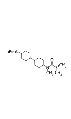 C=C(C)C(=O)N(C)C1CCC(C2CCC(CCCCC)CC2)CC1